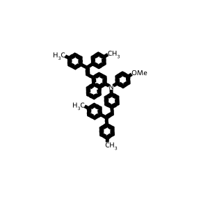 COc1ccc(N(c2ccc(C=C(c3ccc(C)cc3)c3ccc(C)cc3)cc2)c2ccc(C=C(c3ccc(C)cc3)c3ccc(C)cc3)c3ccccc23)cc1